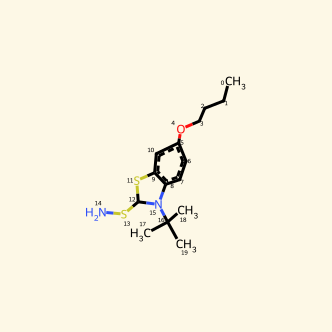 CCCCOc1ccc2c(c1)SC(SN)N2C(C)(C)C